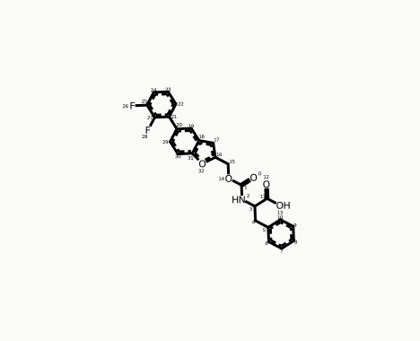 O=C(NC(Cc1ccccc1)C(=O)O)OCc1cc2cc(-c3cccc(F)c3F)ccc2o1